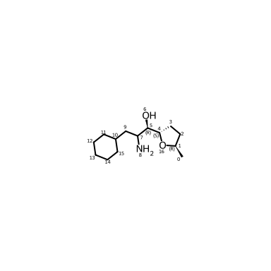 C[C@@H]1CC[C@@H]([C@H](O)C(N)CC2CCCCC2)O1